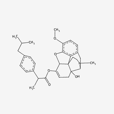 COc1ccc2c3c1OC1C(OC(=O)C(C)c4ccc(CC(C)C)cc4)=CCC4(O)C(C2)N(C)CCC314